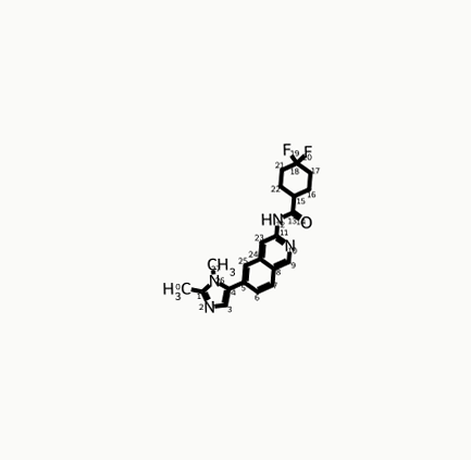 Cc1ncc(-c2ccc3cnc(NC(=O)C4CCC(F)(F)CC4)cc3c2)n1C